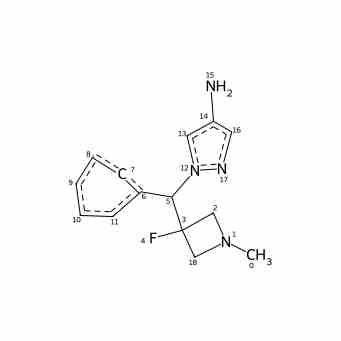 CN1CC(F)(C(c2ccccc2)n2cc(N)cn2)C1